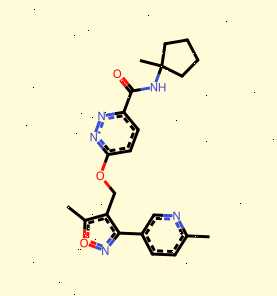 Cc1ccc(-c2noc(C)c2COc2ccc(C(=O)NC3(C)CCCC3)nn2)cn1